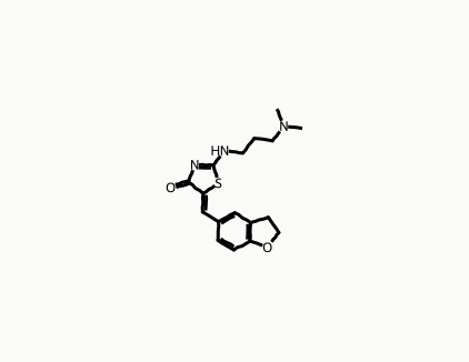 CN(C)CCCNC1=NC(=O)C(=Cc2ccc3c(c2)CCO3)S1